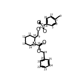 Cc1ccc(S(=O)(=O)OCC2CCCCN2C(=O)OCc2ccccc2)cc1